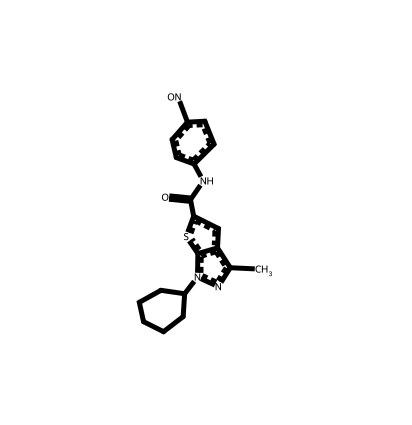 Cc1nn(C2CCCCC2)c2sc(C(=O)Nc3ccc(N=O)cc3)cc12